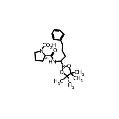 CC1(C)OB(C(CCCc2ccccc2)NC(=O)[C@H]2CCCN2C(=O)O)OC1(C)C